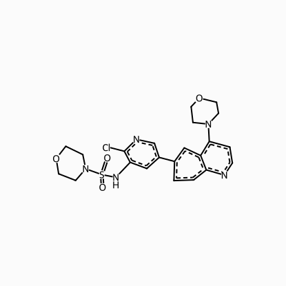 O=S(=O)(Nc1cc(-c2ccc3nccc(N4CCOCC4)c3c2)cnc1Cl)N1CCOCC1